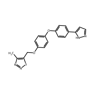 Cc1nnsc1COc1ccc(Oc2ccc(-c3ccn[nH]3)cc2)cc1